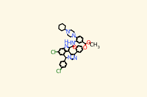 COC(=O)c1ccc(N2CCN(C3CCCCC3)CC2)c(NC(=O)c2[nH]c3cc(Cl)cc4c3c2-c2c(-c3ccccc3)ncn2C4c2ccc(Cl)cc2)c1